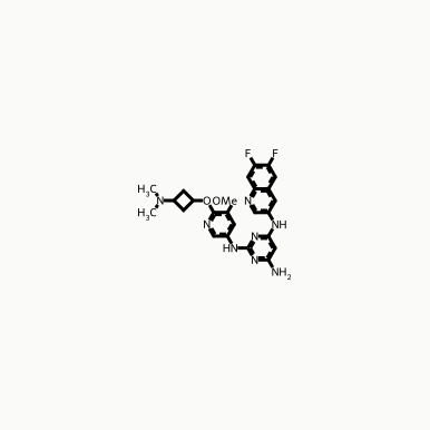 COc1cc(Nc2nc(N)cc(Nc3cnc4cc(F)c(F)cc4c3)n2)cnc1OC1CC(N(C)C)C1